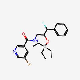 CC[Si](CC)(CC)OC(CNC(=O)c1cncc(Br)c1)C(F)c1ccccc1